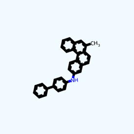 Cc1cc2ccccc2c2c1ccc1cc(Nc3ccc(-c4ccccc4)cc3)ccc12